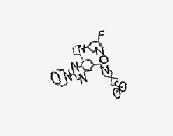 O=C(c1cc(C2CCCN2c2cncc(F)c2)c2nc(N3CCOCC3)cnc2c1)N1CC2(C1)CS(=O)(=O)C2